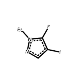 CCn1ncc(I)c1F